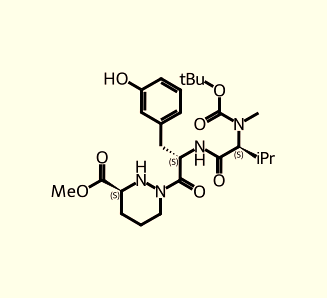 COC(=O)[C@@H]1CCCN(C(=O)[C@H](Cc2cccc(O)c2)NC(=O)[C@H](C(C)C)N(C)C(=O)OC(C)(C)C)N1